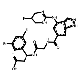 O=C(O)C[C@H](NC(=O)CNC(=O)c1cc(NC2=NCC(F)CN2)c2cn[nH]c2c1)c1cc(Br)cc(Br)c1